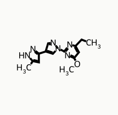 CCc1cc(OC)nc(-n2cc(-c3cc(C)[nH]n3)cn2)n1